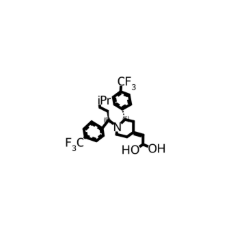 CC(C)CC[C@H](c1ccc(C(F)(F)F)cc1)N1CCC(=CC(O)O)C[C@H]1c1ccc(C(F)(F)F)cc1